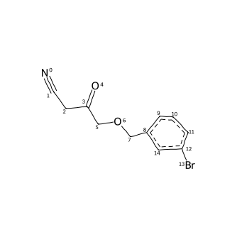 N#CCC(=O)COCc1cccc(Br)c1